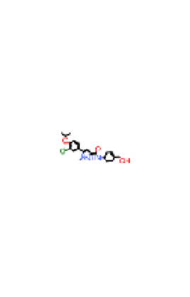 CC(C)Oc1ccc(-c2cc(C(=O)Nc3ccc(CO)cc3)nn2C)cc1Cl